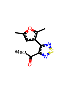 COC(=O)c1nsnc1-c1cc(C)oc1C